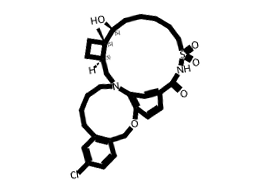 C[C@]12CC[C@@H]1CN1CCCCc3cc(Cl)ccc3COc3ccc(cc31)C(=O)NS(=O)(=O)CCCCC[C@@H]2O